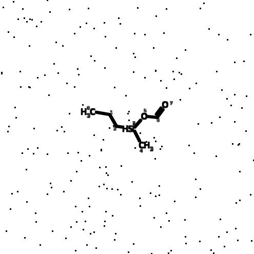 CCC[SiH](C)OC=O